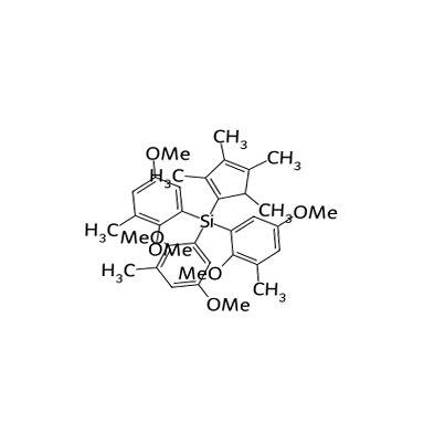 COc1cc(C)c(OC)c([Si](C2=C(C)C(C)=C(C)C2C)(c2cc(OC)cc(C)c2OC)c2cc(OC)cc(C)c2OC)c1